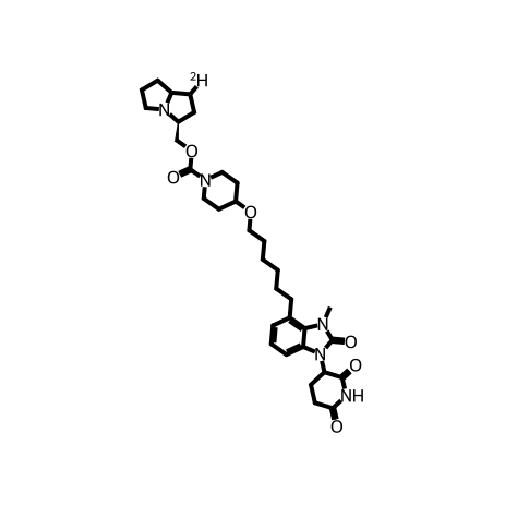 [2H]C1C[C@@H](COC(=O)N2CCC(OCCCCCCc3cccc4c3n(C)c(=O)n4C3CCC(=O)NC3=O)CC2)N2CCCC12